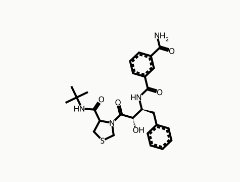 CC(C)(C)NC(=O)C1CSCN1C(=O)[C@@H](O)[C@H](Cc1ccccc1)NC(=O)c1cccc(C(N)=O)c1